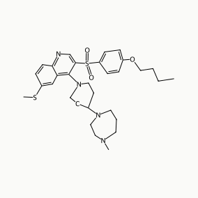 CCCCOc1ccc(S(=O)(=O)c2cnc3ccc(SC)cc3c2N2CCC(N3CCCN(C)CC3)CC2)cc1